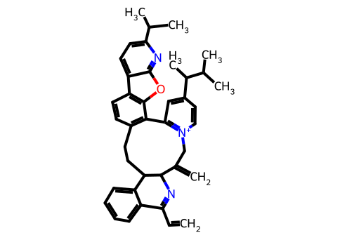 C=CC1=NC2C(=C)C[n+]3ccc(C(C)C(C)C)cc3-c3c(ccc4c3oc3nc(C(C)C)ccc34)CCC2c2ccccc21